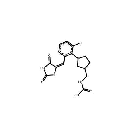 O=C(O)NCC1CCN(c2c(Cl)cccc2C=C2SC(=O)NC2=O)C1